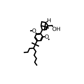 CCCCCC(CCC)C(C)(C)c1cc(OC)c(C2C=C(CO)[C@H]3CC2C3(C)C)c(OC)c1